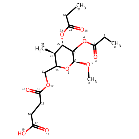 CCC(=O)OC1[C@@H](OC)OC(COC(=O)CCC(=O)O)[C@@H](C)[C@@H]1OC(=O)CC